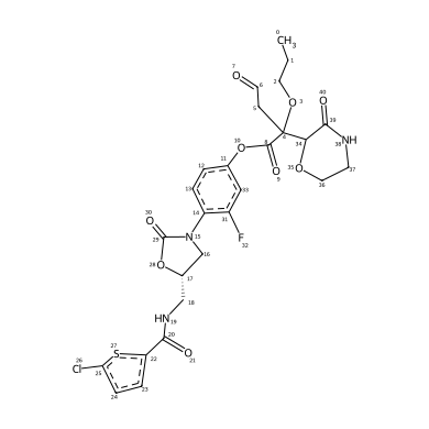 CCCOC(CC=O)(C(=O)Oc1ccc(N2C[C@H](CNC(=O)c3ccc(Cl)s3)OC2=O)c(F)c1)C1OCCNC1=O